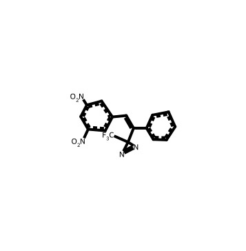 O=[N+]([O-])c1cc(C=C(c2ccccc2)C2(C(F)(F)F)N=N2)cc([N+](=O)[O-])c1